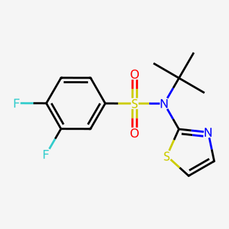 CC(C)(C)N(c1nccs1)S(=O)(=O)c1ccc(F)c(F)c1